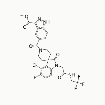 COC(=O)c1n[nH]c2ccc(C(=O)N3CCC4(CC3)C(=O)N(CC(=O)NCC(F)(F)F)c3ccc(F)c(Cl)c34)cc12